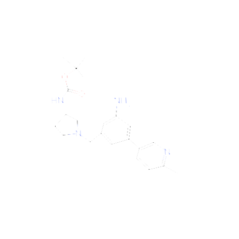 Cc1ccc(-c2cc(N)cc(CN3CC[C@H](NC(=O)OC(C)(C)C)C3)c2)cn1